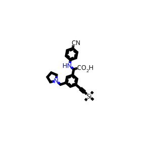 C[Si](C)(C)C#Cc1cc(CN2CCCC2)cc(C(Nc2ccc(C#N)cc2)C(=O)O)c1